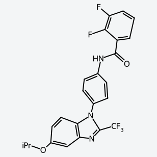 CC(C)Oc1ccc2c(c1)nc(C(F)(F)F)n2-c1ccc(NC(=O)c2cccc(F)c2F)cc1